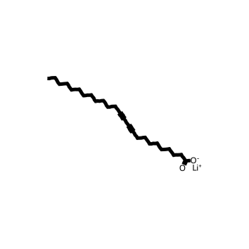 CCCCCCCCCCCCC#CC#CCCCCCCCCC(=O)[O-].[Li+]